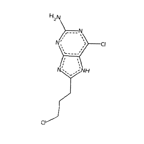 Nc1nc(Cl)c2[nH]c(CCCCl)nc2n1